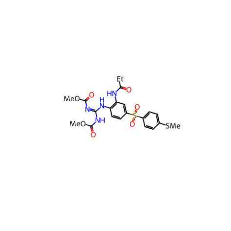 CCC(=O)Nc1cc(S(=O)(=O)c2ccc(SC)cc2)ccc1NC(=NC(=O)OC)NC(=O)OC